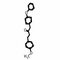 COc1ccc(CCC(=O)Cc2ccc(Oc3ccccc3)cc2)cc1